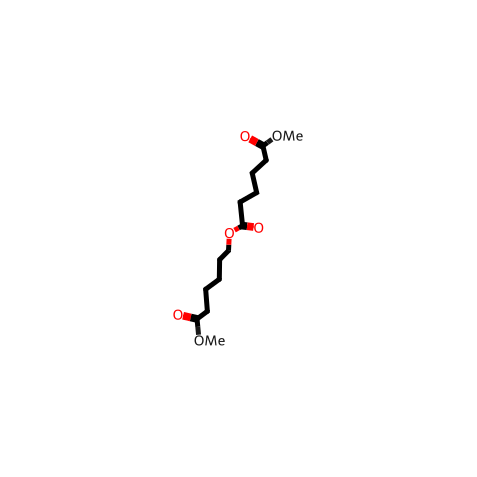 COC(=O)CCCCCOC(=O)CCCCC(=O)OC